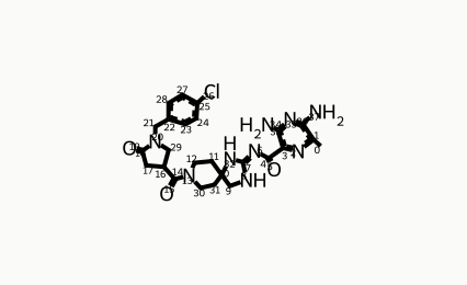 Cc1nc(C(=O)/N=C2\NCC3(CCN(C(=O)C4CC(=O)N(Cc5ccc(Cl)cc5)C4)CC3)N2)c(N)nc1N